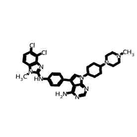 CN1CCN(C2CCC(n3cc(-c4ccc(Nc5nc6c(Cl)c(Cl)ccc6n5C)cc4)c4c(N)ncnc43)CC2)CC1